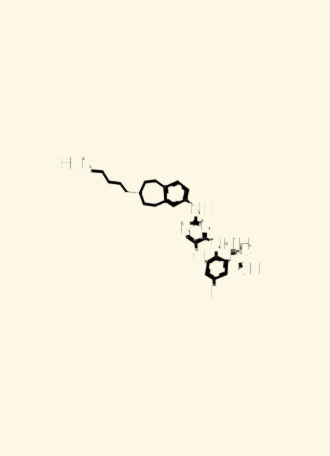 CP(C)(=O)c1cc(F)ccc1Nc1nc(Nc2ccc3c(c2)CC[C@@H](CCCCCN)CC3)ncc1Cl